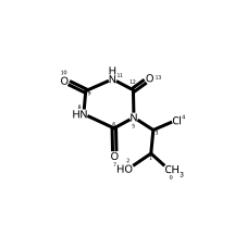 CC(O)C(Cl)n1c(=O)[nH]c(=O)[nH]c1=O